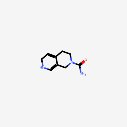 NC(=O)N1CCC2=CCNC=C2C1